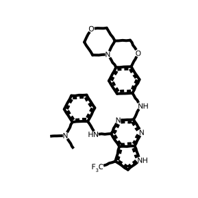 CN(C)c1ccccc1Nc1nc(Nc2ccc3c(c2)OCC2COCCN32)nc2[nH]cc(C(F)(F)F)c12